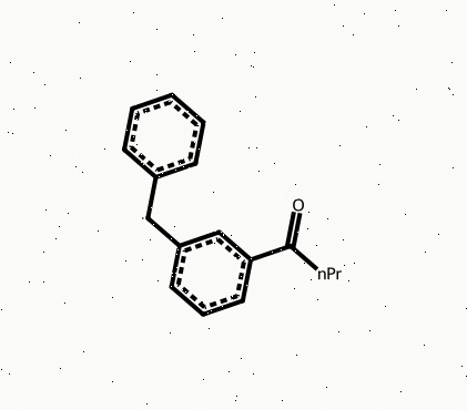 CCCC(=O)c1cccc([CH]c2ccccc2)c1